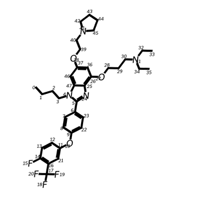 CCCCn1c(-c2ccc(Oc3ccc(F)c(C(F)(F)F)c3)cc2)nc2c(OCCCN(CC)CC)cc(OCCN3CCCC3)cc21